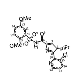 CCCC1C=C(C(=O)NS(=O)(=O)c2cc(OC)ccc2OC)N=C1c1ncccc1Cl